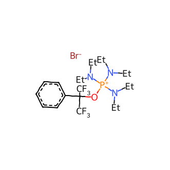 CCN(CC)[P+](OC(c1ccccc1)(C(F)(F)F)C(F)(F)F)(N(CC)CC)N(CC)CC.[Br-]